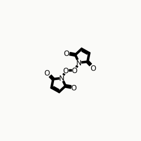 O=C1C=CC(=O)N1OON1C(=O)C=CC1=O